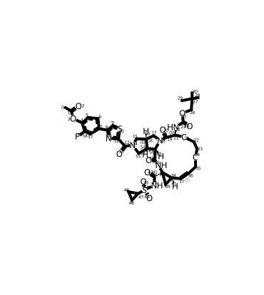 CC(=O)Oc1ccc(-c2csc(C(=O)N3C[C@H]4CN5C(=O)[C@@H](NC(=O)OCC(C)(C)C)CCCCC/C=C\[C@H]6C[C@@]6(C(=O)NS(=O)(=O)C6CC6)NC(=O)[C@@H]5[C@H]4C3)n2)cc1F